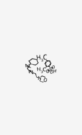 C(=NCCN1CCOCC1)=NC1CCCCC1.Cc1ccc(S(=O)(=O)O)c(C)c1